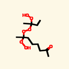 CCC(C)(OO)OOC(C)(CCCCC(C)=O)OO